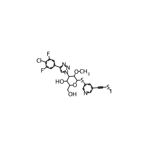 COC1C(Sc2cncc(C#CSI)c2)OC(CO)C(O)C1n1cc(-c2cc(F)c(Cl)c(F)c2)nn1